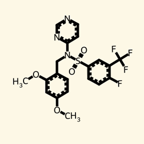 COc1ccc(CN(c2ccncn2)S(=O)(=O)c2ccc(F)c(C(F)(F)F)c2)c(OC)c1